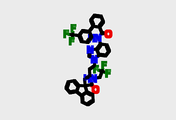 O=C(Nc1cccc2c1ncn2CCCCC1(C(=O)NCC(F)(F)F)c2ccccc2-c2ccccc21)c1ccccc1-c1cccc(C(F)(F)F)c1